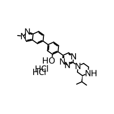 CC(C)[C@H]1CN(c2ncc(-c3ccc(-c4ccc5nn(C)cc5c4)cc3O)nn2)CCN1.Cl.Cl